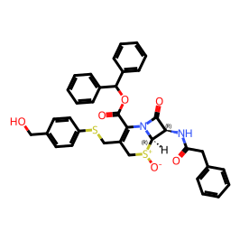 O=C(Cc1ccccc1)N[C@@H]1C(=O)N2C(C(=O)OC(c3ccccc3)c3ccccc3)=C(CSc3ccc(CO)cc3)C[S+]([O-])[C@H]12